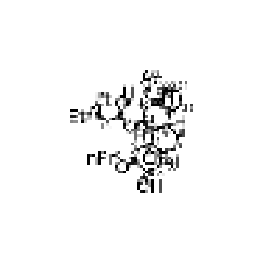 CCCO[C@H]1C[C@@]2(C)[C@@H](CC[C@@H]3[C@@H]2[C@@H](OC(=O)CN(CC)CC)C[C@]2(C)[C@@H](C(C)=O)CC[C@@H]32)C[C@@H]1O